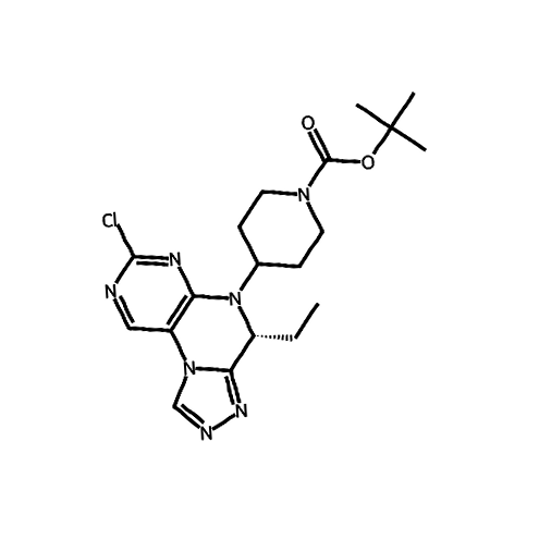 CC[C@@H]1c2nncn2-c2cnc(Cl)nc2N1C1CCN(C(=O)OC(C)(C)C)CC1